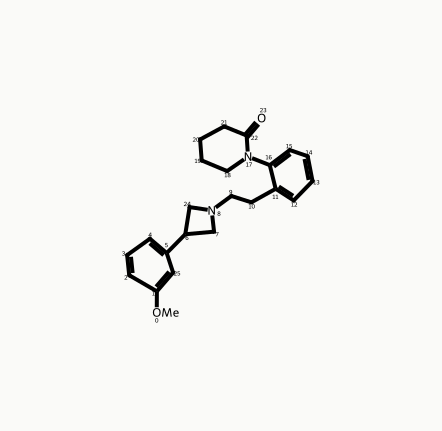 COc1cccc(C2CN(CCc3ccccc3N3CCCCC3=O)C2)c1